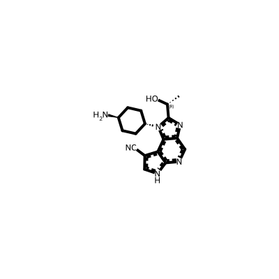 C[C@@H](O)c1nc2cnc3[nH]cc(C#N)c3c2n1[C@H]1CC[C@H](N)CC1